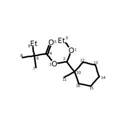 CCOC(OC(=O)C(C)(C)CC)C1(C)CCCCC1